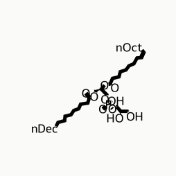 CCCCCCCC/C=C\CCCCCCCC(=O)O[C@H](COC(=O)CCCCCCCCCCCCCCCCCC)COP(=O)(O)OC[C@@H](O)CO